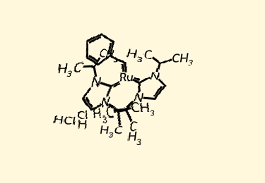 CC(C)n1ccn(C(C)C)[c]1=[Ru](=[CH]c1ccccc1)=[c]1n(C(C)C)ccn1C(C)C.Cl.Cl